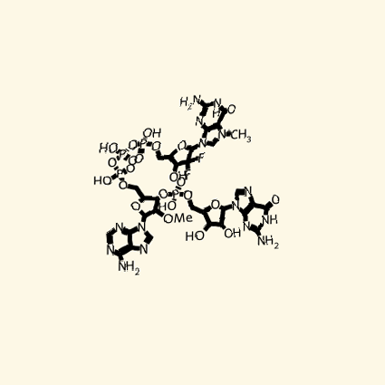 COC1C(OP(=O)(O)OCC2OC(n3cnc4c(=O)[nH]c(N)nc43)C(O)C2O)C(COP(=O)(O)OP(=O)(O)OP(=O)(O)OCC2OC(n3c[n+](C)c4c(=O)[nH]c(N)nc43)C(F)(F)C2O)OC1n1cnc2c(N)ncnc21